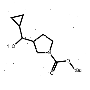 CC(C)(C)OC(=O)N1CCC(C(O)C2CC2)C1